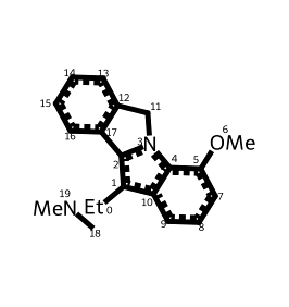 CCc1c2n(c3c(OC)cccc13)Cc1ccccc1-2.CNC